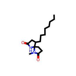 CCCCCCCCC1CC(=O)NC12CCC(=O)N2C